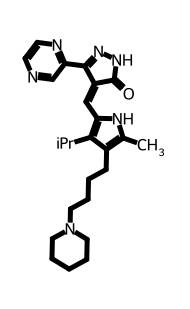 Cc1[nH]c(C=C2C(=O)NN=C2c2cnccn2)c(C(C)C)c1CCCCN1CCCCC1